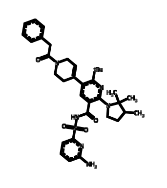 CC1CCN(c2nc(C(C)(C)C)c(C3=CCN(C(=O)Cc4ccccc4)CC3)cc2C(=O)NS(=O)(=O)c2cccc(N)n2)C1(C)C